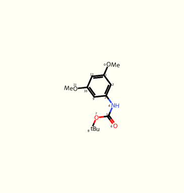 COc1cc(NC(=O)OC(C)(C)C)cc(OC)c1